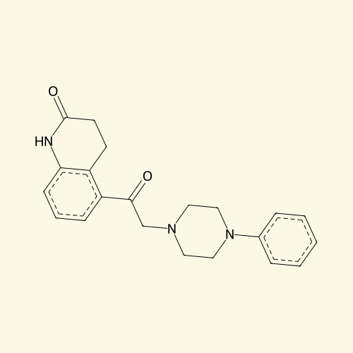 O=C1CCc2c(cccc2C(=O)CN2CCN(c3ccccc3)CC2)N1